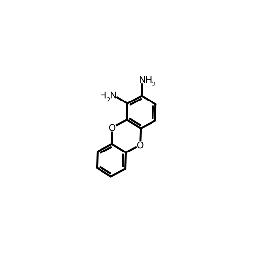 Nc1ccc2c(c1N)Oc1ccccc1O2